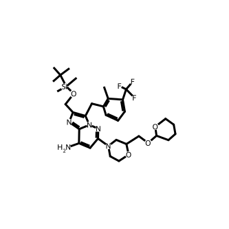 Cc1c(Cc2c(CO[Si](C)(C)C(C)(C)C)nc3c(N)cc(N4CCOC(COC5CCCCO5)C4)nn23)cccc1C(F)(F)F